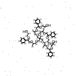 CC(COCC(COCC(C)OCC(OCCO)c1ccccc1)(COCC(C)OCC(OCCO)c1ccccc1)COCC(C)OCC(OCCO)c1ccccc1)OCC(OCCO)c1ccccc1